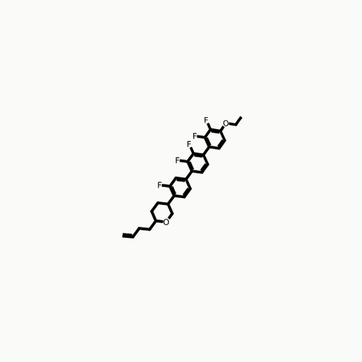 C=CCCC1CCC(c2ccc(-c3ccc(-c4ccc(OCC)c(F)c4F)c(F)c3F)cc2F)CO1